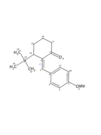 COc1ccc(/C=C2\C(=O)CCCC2[Si](C)(C)C)cc1